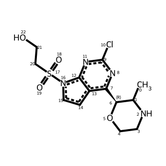 CC1NCCO[C@H]1c1nc(Cl)nc2c1ccn2S(=O)(=O)CCO